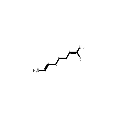 NC=CCCCC=C(F)C(F)(F)F